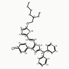 CCCCC(CC)CSc1nnc(/N=N/c2sc(N(c3ccccc3)c3ccccc3)nc2-c2ccc(Cl)cc2)s1